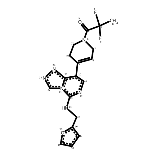 CC(F)(F)C(=O)N1CC=C(c2cnc(NCc3ccco3)n3cnnc23)CC1